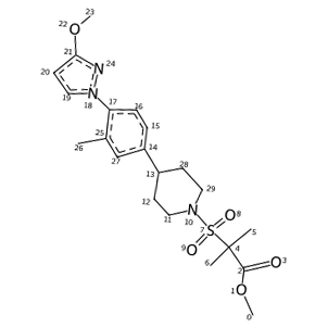 COC(=O)C(C)(C)S(=O)(=O)N1CCC(c2ccc(-n3ccc(OC)n3)c(C)c2)CC1